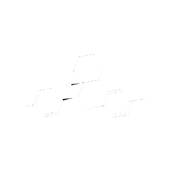 FC1=C(F)CC([C@@H]2Nc3ccc(C(F)(F)F)cc3C3OCCC[C@H]32)C=C1